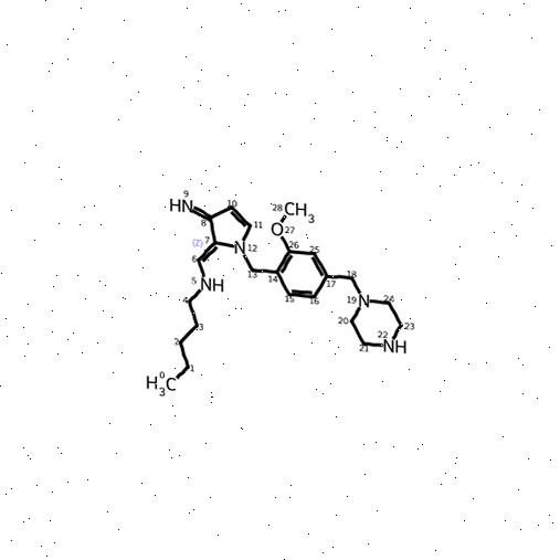 CCCCCN/C=C1/C(=N)C=CN1Cc1ccc(CN2CCNCC2)cc1OC